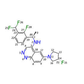 C[C@@H](Nc1cnnc2ccc(N3CC[C@H](F)C3)cc12)c1cccc(C(F)F)c1F